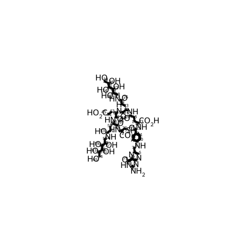 Nc1nc2ncc(CNc3ccc(C(=O)N[C@@H](CCC(=O)N[C@@H](CCC(=O)NC[C@H](O)[C@@H](O)[C@H](O)[C@H](O)CO)C(=O)N[C@@H](CCC(=O)O)C(=O)N[C@@H](CCC(O)NC[C@H](O)[C@@H](O)[C@H](O)[C@H](O)CO)C(=O)N[C@@H](CS)C(=O)O)C(=O)O)cc3)nc2c(=O)[nH]1